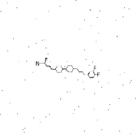 N#CC(F)=CC=CC1CCC(C2CCC(CCCCc3ccc(F)c(F)c3)CC2)CC1